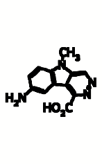 Cn1c2ccc(N)cc2c2c(C(=O)O)nncc21